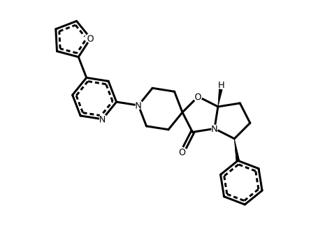 O=C1N2[C@@H](CC[C@H]2c2ccccc2)OC12CCN(c1cc(-c3ccco3)ccn1)CC2